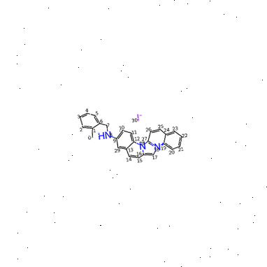 Cc1ccccc1CNc1ccc2c(ccc3c[n+]4c5ccccc5ccc4n32)c1.[I-]